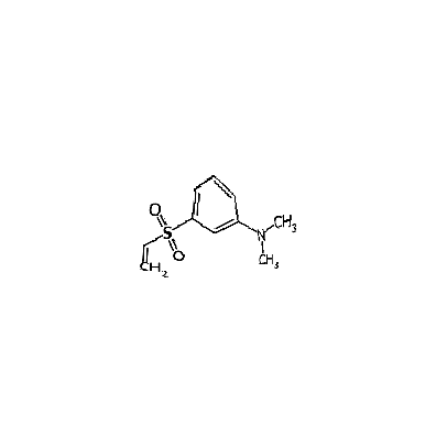 C=CS(=O)(=O)c1cccc(N(C)C)c1